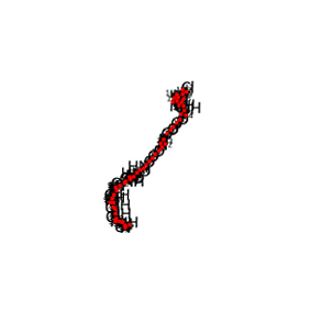 CC(=N)N1C(=N)[C@H](CC(=O)Nc2ccc(OCCOCCOCCOCCN3CCN(CCOCCOCCOCCNC(=O)CCNC(=O)c4nc(NC(=O)CCNC(=O)c5cc(NC(=O)c6nc(NC(=O)CCNC(=O)c7cc(NC(=O)c8nccn8C)cn7C)cn6C)cn5C)cn4C)CC3)cc2)N=C(c2ccc(Cl)cc2)c2c1sc(C)c2C